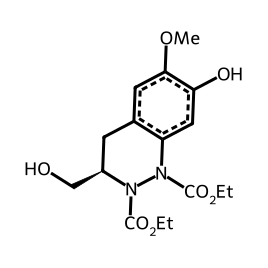 CCOC(=O)N1c2cc(O)c(OC)cc2C[C@H](CO)N1C(=O)OCC